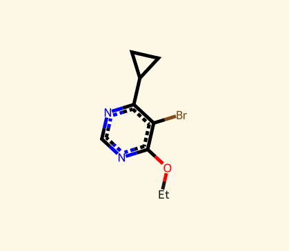 CCOc1ncnc(C2CC2)c1Br